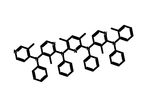 Cc1cnccc1N(c1ccccc1)c1ccnc(N(c2ccccc2)c2nc(N(c3ccccc3)c3ccnc(N(c4ccccc4)c4ccccc4C)c3C)c(C)cc2C)c1C